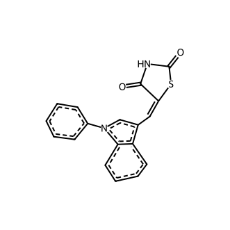 O=C1NC(=O)C(=Cc2cn(-c3ccccc3)c3ccccc23)S1